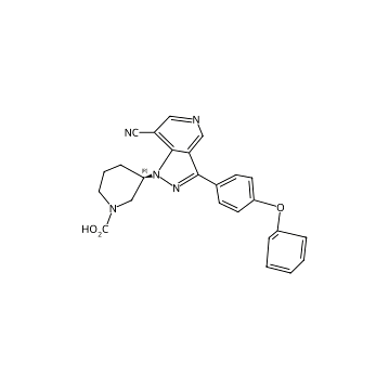 N#Cc1cncc2c(-c3ccc(Oc4ccccc4)cc3)nn([C@@H]3CCCN(C(=O)O)C3)c12